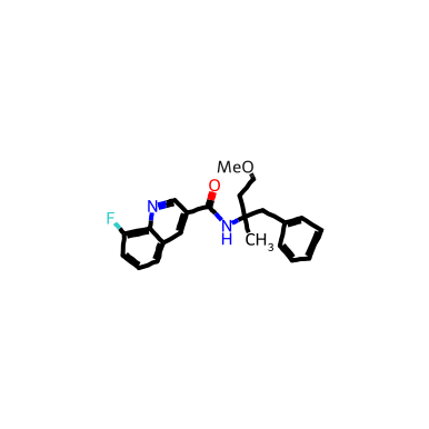 COCCC(C)(Cc1ccccc1)NC(=O)c1cnc2c(F)cccc2c1